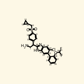 NCC(c1ccc(S(=O)(=O)CC2CC2)cc1)c1nc2cc(Cl)c(-c3ccccc3OC(F)F)cc2[nH]1